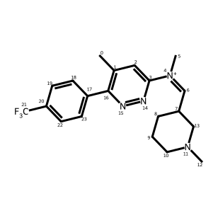 Cc1cc(/[N+](C)=C\C2CCCN(C)C2)nnc1-c1ccc(C(F)(F)F)cc1